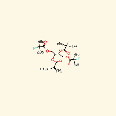 C=C(C)C(=O)OC(COC(=O)C(F)(CCCC)CCCC)C(COC(=O)C(F)(CCCC)CCCC)OC(=O)C(F)(CCCC)CCCC